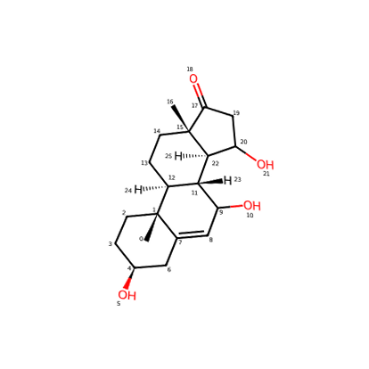 C[C@]12CC[C@H](O)CC1=CC(O)[C@@H]1[C@@H]2CC[C@]2(C)C(=O)CC(O)[C@@H]12